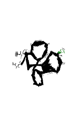 CC1(C)CC2(c3ccccc3-c3ccc(Cl)cc32)c2ccccc21